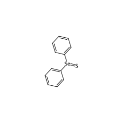 S=[Se](c1ccccc1)c1ccccc1